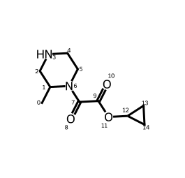 CC1CNCCN1C(=O)C(=O)OC1CC1